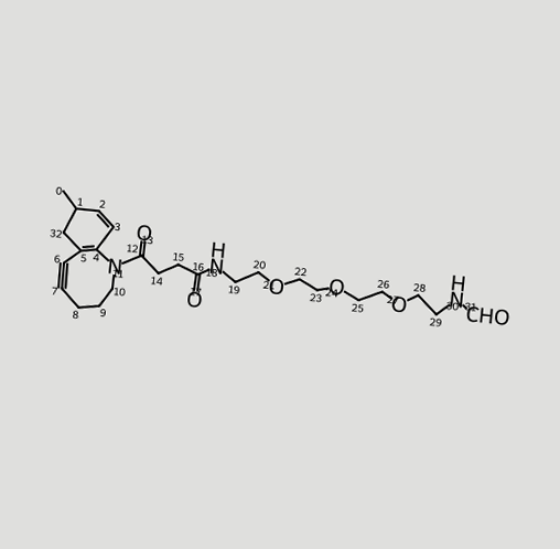 CC1C=CC2=C(C#CCCCN2C(=O)CCC(=O)NCCOCCOCCOCCNC=O)C1